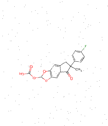 CC1(c2ccc(F)cc2)Cc2cc3c(cc2C1=O)OC(OC(=O)O)O3